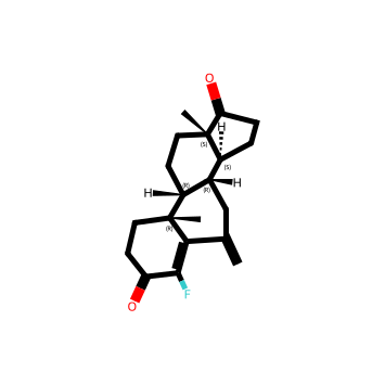 C=C1C[C@@H]2[C@@H](CC[C@]3(C)C(=O)CC[C@@H]23)[C@@]2(C)CCC(=O)C(F)=C12